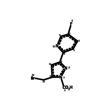 O=C(O)n1nc(-c2ccc(F)cn2)cc1CBr